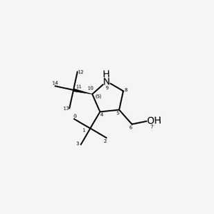 CC(C)(C)C1C(CO)CN[C@@H]1C(C)(C)C